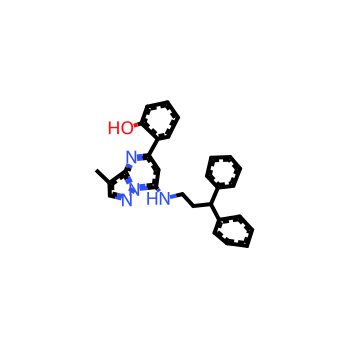 Cc1cnn2c(NCCC(c3ccccc3)c3ccccc3)cc(-c3ccccc3O)nc12